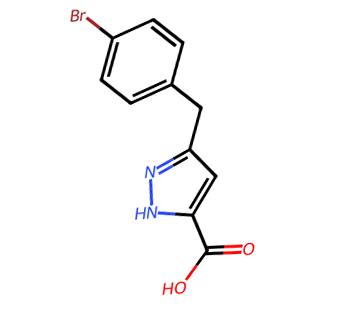 O=C(O)c1cc(Cc2ccc(Br)cc2)n[nH]1